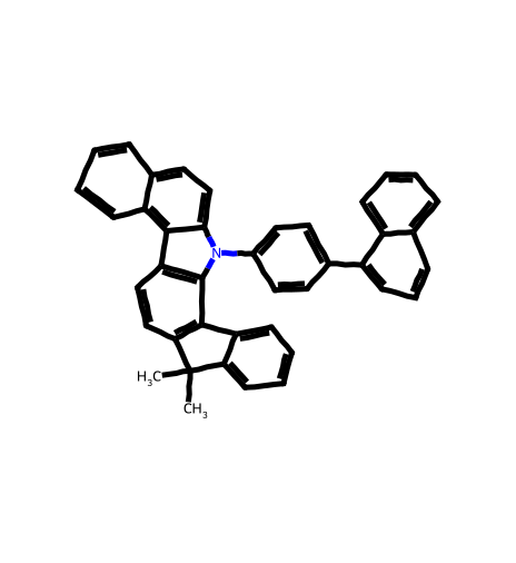 CC1(C)c2ccccc2-c2c1ccc1c3c4ccccc4ccc3n(-c3ccc(-c4cccc5ccccc45)cc3)c21